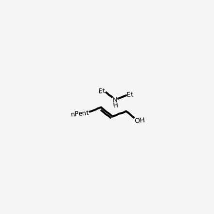 CCCCC/C=C/CO.CCNCC